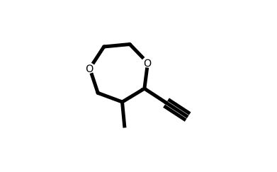 C#C[C]1OCCOCC1C